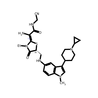 CCN1C(=O)[C@@H](CNc2ccc3c(c2)c(C2CCN(C4CC4)CC2)cn3C)S/C1=C(/N)C(=O)NCC#N